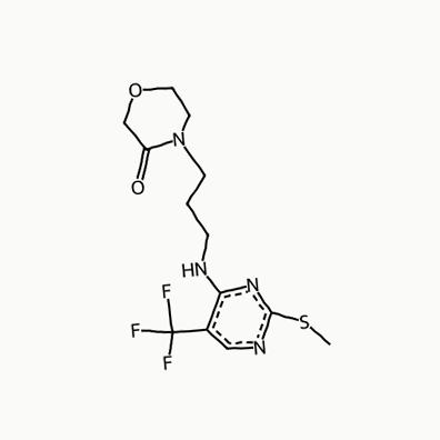 CSc1ncc(C(F)(F)F)c(NCCCN2CCOCC2=O)n1